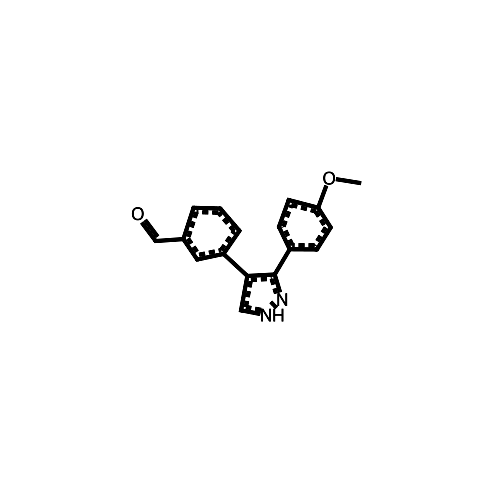 COc1ccc(-c2n[nH]cc2-c2cccc(C=O)c2)cc1